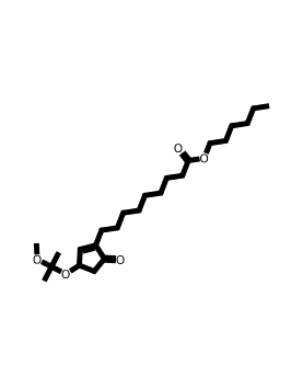 CCCCCCOC(=O)CCCCCCCCC1=CC(OC(C)(C)OC)CC1=O